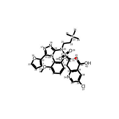 COc1cccc(OC)c1-n1c(-c2ccco2)nnc1N(CCS(C)(C)C)S(=O)(=O)[C@H](C)Cc1ncc(Cl)cc1C(=O)O